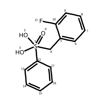 O=S(O)(O)(Cc1ccccc1F)c1ccccc1